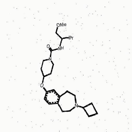 COCC(NC(=O)N1CCC(Oc2ccc3c(c2)CCN(C2CCC2)CC3)CC1)C(C)C